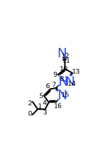 CC(C)Cc1ccc(-n2cc(C#N)cn2)nc1